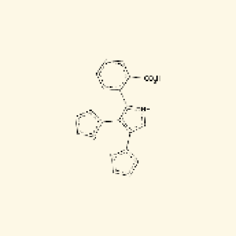 O=C(O)c1ccccc1-c1[nH]cc(-c2cccs2)c1-c1cccs1